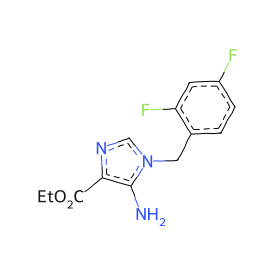 CCOC(=O)c1ncn(Cc2ccc(F)cc2F)c1N